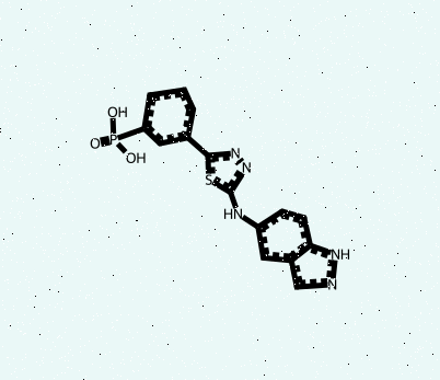 O=P(O)(O)c1cccc(-c2nnc(Nc3ccc4[nH]ncc4c3)s2)c1